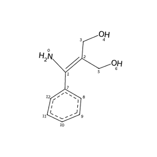 NC(=C(CO)CO)c1ccccc1